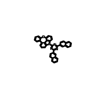 c1ccc2cc(-c3nc(-c4ccc5ccccc5c4)nc(-n4c5cccc6oc7ccccc7c7cccc4c7c65)n3)ccc2c1